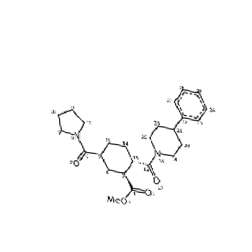 COC(=O)[C@H]1CC(C(=O)N2CCCC2)CC[C@@H]1C(=O)N1CCC(c2ccccc2)CC1